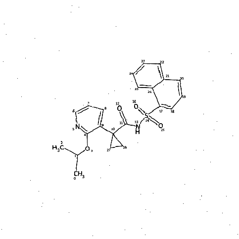 CC(C)Oc1ncccc1C1(C(=O)NS(=O)(=O)c2cccc3ccccc23)CC1